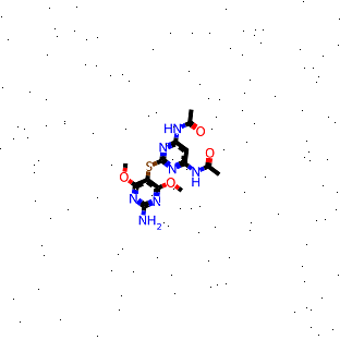 COc1nc(N)nc(OC)c1Sc1nc(NC(C)=O)cc(NC(C)=O)n1